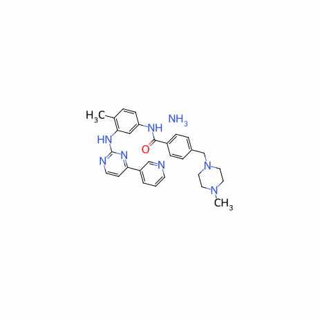 Cc1ccc(NC(=O)c2ccc(CN3CCN(C)CC3)cc2)cc1Nc1nccc(-c2cccnc2)n1.N